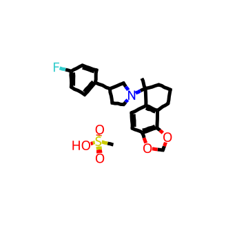 CC1(N2CCC(c3ccc(F)cc3)C2)CCCc2c1ccc1c2OCO1.CS(=O)(=O)O